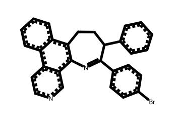 Brc1ccc(C2=Nc3c(c4ccccc4c4ccncc34)CCC2c2ccccc2)cc1